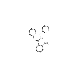 Nc1ccccc1N(Cc1ccccc1)NCc1ccccc1